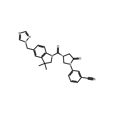 CC1(C)CN(C(=O)[C@H]2CC(=O)N(c3cccc(C#N)c3)C2)c2ccc(Cn3cncn3)cc21